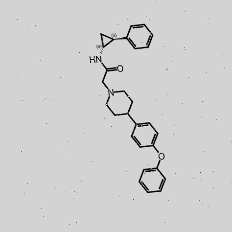 O=C(CN1CCC(c2ccc(Oc3ccccc3)cc2)CC1)N[C@@H]1C[C@H]1c1ccccc1